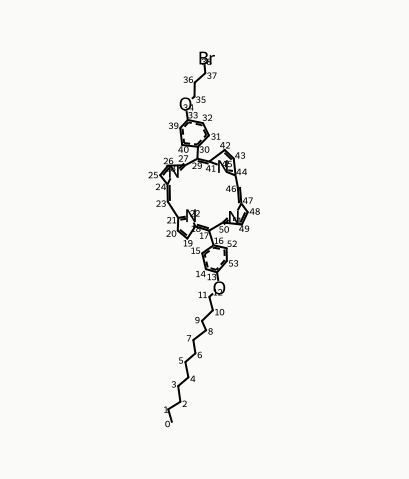 CCCCCCCCCCCCOc1ccc(C2=C3C=CC(=N3)C=C3C=CC(=N3)C(c3ccc(OCCCBr)cc3)=C3C=CC(=N3)C=C3C=CC2=N3)cc1